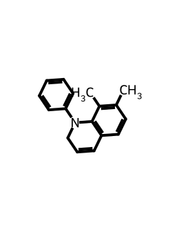 Cc1ccc2c(c1C)N(c1ccccc1)CC=C2